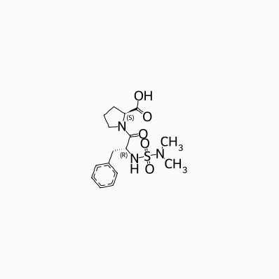 CN(C)S(=O)(=O)N[C@H](Cc1ccccc1)C(=O)N1CCC[C@H]1C(=O)O